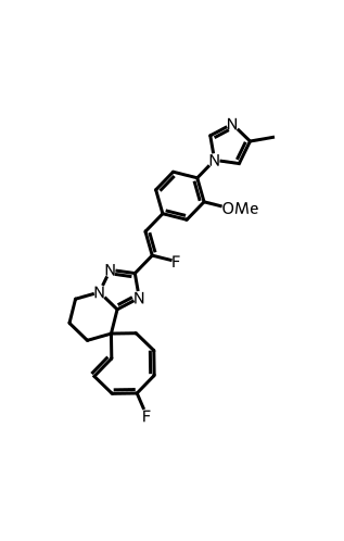 COc1cc(/C=C(\F)c2nc3n(n2)CCCC32/C=C/C=C(F)\C=C/C2)ccc1-n1cnc(C)c1